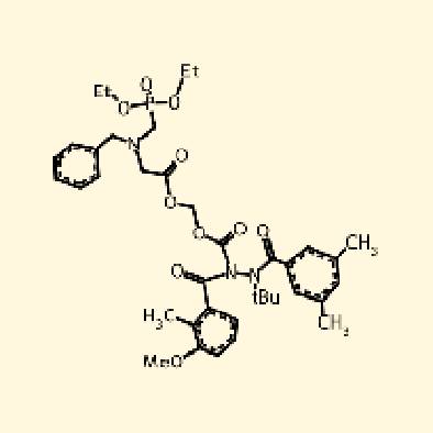 CCOP(=O)(CN(CC(=O)OCOC(=O)N(C(=O)c1cccc(OC)c1C)N(C(=O)c1cc(C)cc(C)c1)C(C)(C)C)Cc1ccccc1)OCC